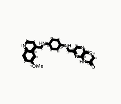 COc1ccc2nccc(CNC3CCC(NCc4cnc5c(n4)NC(=O)CS5)CC3)c2c1